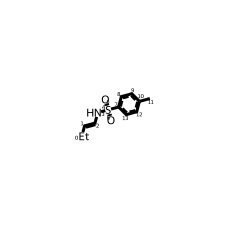 CCC=CNS(=O)(=O)c1ccc(C)cc1